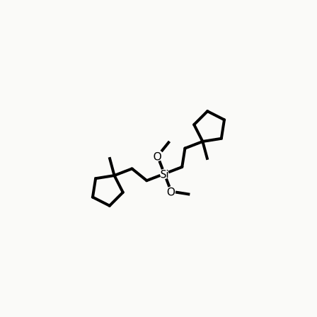 CO[Si](CCC1(C)CCCC1)(CCC1(C)CCCC1)OC